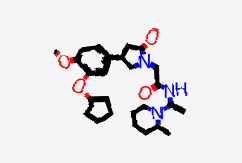 COc1ccc(C2CC(=O)N(CC(=O)NC(C)N3CCCCC3C)C2)cc1OC1CCCC1